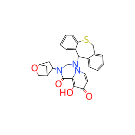 O=C1c2c(O)c(=O)ccn2N([C@H]2c3ccccc3CSc3ccccc32)CN1[C@@H]1CC2CC1CO2